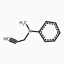 C#CCN(C)c1[c]cccc1